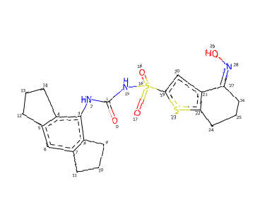 O=C(Nc1c2c(cc3c1CCC3)CCC2)NS(=O)(=O)c1cc2c(s1)CCC/C2=N/O